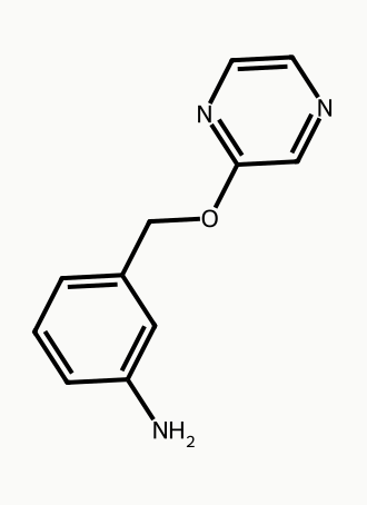 Nc1cccc(COc2cnccn2)c1